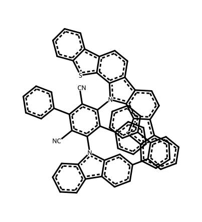 N#Cc1c(-c2ccccc2)c(C#N)c(-n2c3c(ccc4c5ccccc5sc43)c3ccc4c5ccccc5sc4c32)c(-c2ccccc2)c1-n1c2ccccc2c2ccc(-c3ccccc3-c3ccccc3)cc21